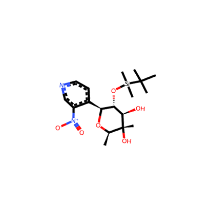 C[C@H]1O[C@@H](c2ccncc2[N+](=O)[O-])[C@H](O[Si](C)(C)C(C)(C)C)[C@@H](O)[C@]1(C)O